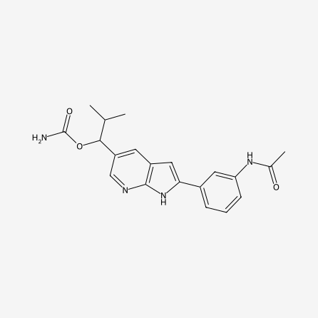 CC(=O)Nc1cccc(-c2cc3cc(C(OC(N)=O)C(C)C)cnc3[nH]2)c1